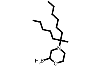 BC1CN(C(C)(CCCCC)CCCCCC)CCO1